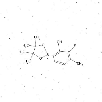 Cc1ccc(B2OC(C)(C)C(C)(C)O2)c(O)c1F